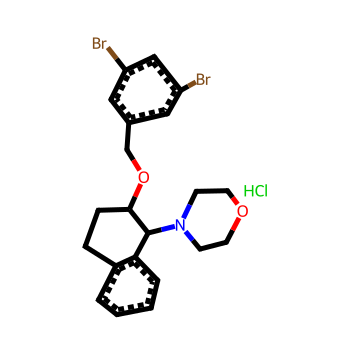 Brc1cc(Br)cc(COC2CCc3ccccc3C2N2CCOCC2)c1.Cl